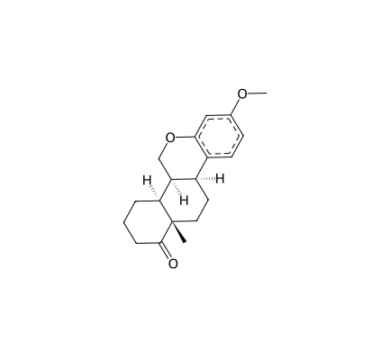 COc1ccc2c(c1)OC[C@H]1[C@@H]2CC[C@]2(C)C(=O)CCC[C@@H]12